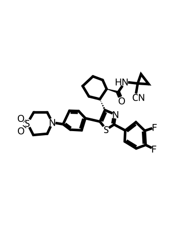 N#CC1(NC(=O)[C@@H]2CCCC[C@H]2c2nc(-c3ccc(F)c(F)c3)sc2-c2ccc(N3CCS(=O)(=O)CC3)cc2)CC1